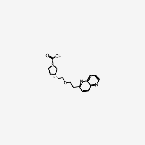 O=C(O)N1CC[C@@H](CCOCCc2ccc3ncccc3n2)C1